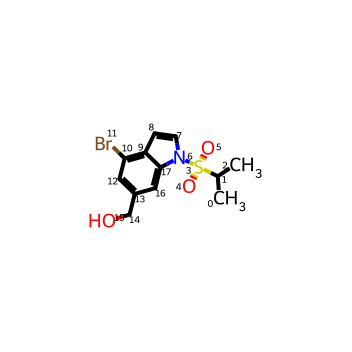 CC(C)S(=O)(=O)n1ccc2c(Br)cc(CO)cc21